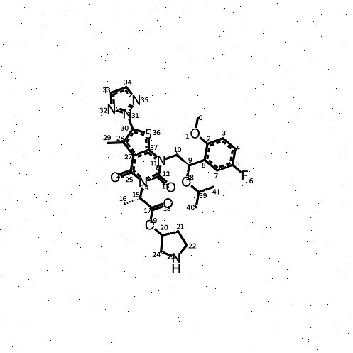 COc1ccc(F)cc1[C@H](Cn1c(=O)n([C@@H](C)C(=O)OC2CCNC2)c(=O)c2c(C)c(-n3nccn3)sc21)OC(C)C